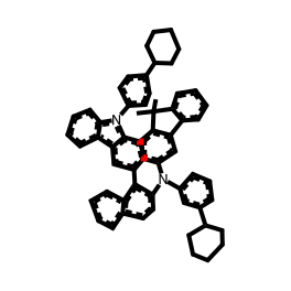 CC1(C)c2ccccc2-c2cc(N(c3cccc(C4CCCCC4)c3)c3ccc4ccccc4c3-c3ccc4c(c3)c3ccccc3n4-c3ccc(C4CCCCC4)cc3)ccc21